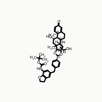 CC(C)(C)OC(=O)Nc1cc(Cc2ccc([C@@H]3O[C@@H]4C[C@H]5[C@@H]6CCC7=CC(=O)C=C[C@]7(C)C6[C@@H](O)CC5(C)[C@]4(C(=O)CO)O3)cc2)cc2c1OCC2